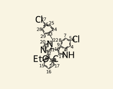 CCOC(=O)c1[nH]c2cc(Cl)ccc2c1-c1c(-c2ccccc2)ncn1Cc1ccc(Cl)cc1